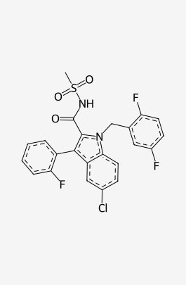 CS(=O)(=O)NC(=O)c1c(-c2ccccc2F)c2cc(Cl)ccc2n1Cc1cc(F)ccc1F